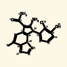 Cc1cc2c(C(N)=O)c(N)n(-c3cccc(O)c3Cl)c2n2ncnc12